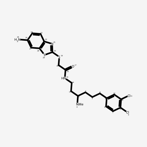 CNC(CCCc1ccc(Cl)c(Cl)c1)CCNC(=O)CSc1nc2ccc(N)cc2s1